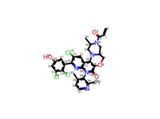 C=CC(=O)N1CC2COc3c(c4cc(Cl)c(-c5cc(O)cc(Cl)c5Cl)nc4n(-c4c(C)ccnc4C(C)C)c3=O)N2CC1C